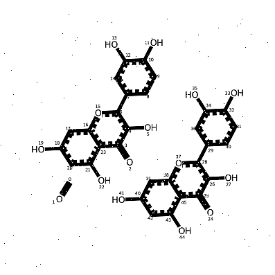 C=O.O=c1c(O)c(-c2ccc(O)c(O)c2)oc2cc(O)cc(O)c12.O=c1c(O)c(-c2ccc(O)c(O)c2)oc2cc(O)cc(O)c12